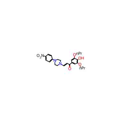 CCCOc1cc(C(=O)C=CN2CCN(c3ccc([N+](=O)[O-])cc3)CC2)cc(OCCC)c1O